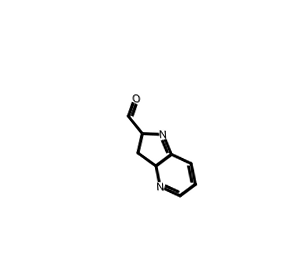 O=CC1CC2N=CC=CC2=N1